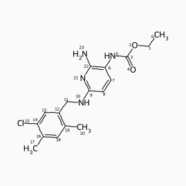 CCOC(=O)Nc1ccc(NCc2cc(Cl)c(C)cc2C)nc1N